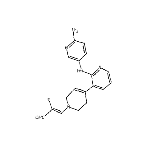 O=CC(F)=CN1CC=C(c2cccnc2Nc2ccc(C(F)(F)F)nc2)CC1